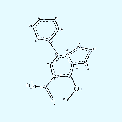 COc1c(C(N)=O)cc(-c2ccccc2)n2n[c]nc12